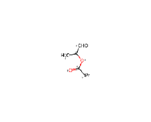 CC(C=O)OC(=O)C(C)C